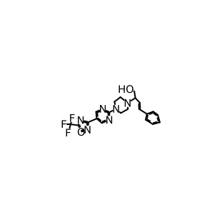 OCC(C=Cc1ccccc1)N1CCN(c2ncc(-c3noc(C(F)(F)F)n3)cn2)CC1